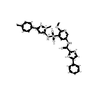 COc1ncc(NC(=O)c2ncc(-c3ccccc3)o2)cc1S(=O)(=O)Nc1cc(-c2ccc(C)cc2)nn1C